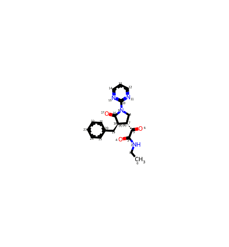 CCNC(=O)C(=O)[C@H]1CN(c2ncccn2)C(=O)[C@@H]1Cc1ccccc1